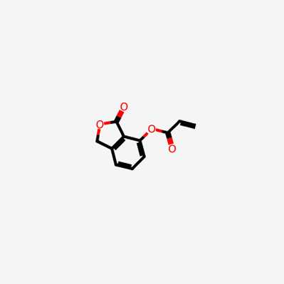 C=CC(=O)Oc1cccc2c1C(=O)OC2